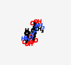 CC(C)CC(N)C(=O)O.NC(Cc1c[nH]cn1)C(=O)O.O=C(O)CNC(=O)c1ccccc1